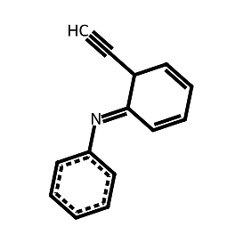 C#CC1C=CC=CC1=Nc1ccccc1